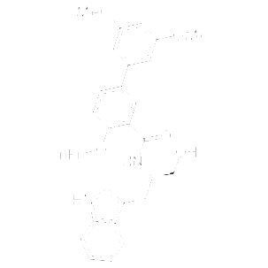 CCCOc1ccc(-c2cc(OC)cc(OC)c2)cc1C(=O)N[C@@H](CO)Cc1c[nH]c2ccccc12